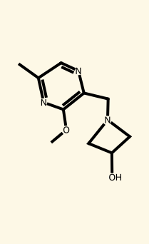 COc1nc(C)cnc1CN1CC(O)C1